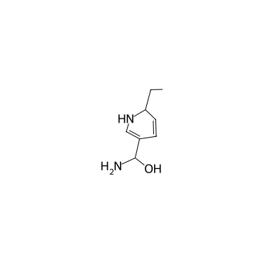 CCC1C=CC(C(N)O)=CN1